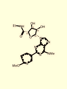 CCNC(=O)[C@H]1O[C@@H](n2cnc3c(NC)nc(-c4ccc(OC)nc4)nc32)[C@H](O)[C@@H]1O